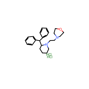 Cl.Cl.c1ccc(C(c2ccccc2)C2CCCCN2CCN2CCOCC2)cc1